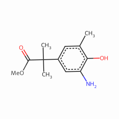 COC(=O)C(C)(C)c1cc(C)c(O)c(N)c1